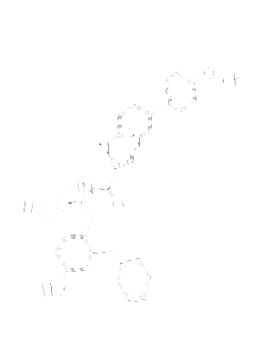 O=C(N[C@@H](Cc1ccc(O)cc1Cc1ccccc1)C(=O)O)c1cn2cc(-c3ccc(OC(F)(F)F)cc3)ccc2n1